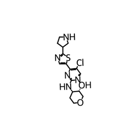 O[C@@H]1COCC[C@H]1Nc1ncc(Cl)c(-c2cnc(C3CCNC3)s2)n1